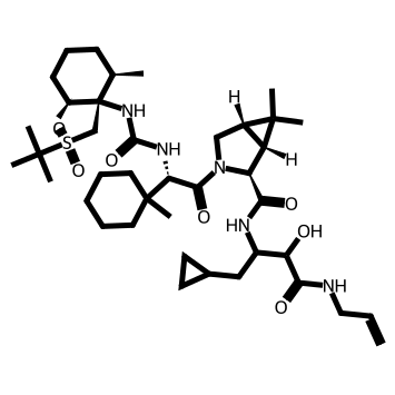 C=CCNC(=O)C(O)C(CC1CC1)NC(=O)[C@@H]1[C@@H]2[C@H](CN1C(=O)[C@@H](NC(=O)N[C@@]1(CS(=O)(=O)C(C)(C)C)[C@H](C)CCC[C@@H]1C)C1(C)CCCCC1)C2(C)C